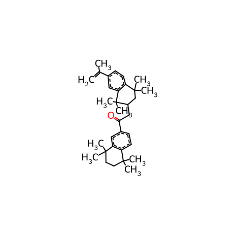 C=C(C)c1ccc2c(c1)C(C)(C)C(CC(=O)c1ccc3c(c1)C(C)(C)CCC3(C)C)CC2(C)C